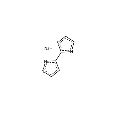 [NaH].c1csc(-c2cc[nH]n2)n1